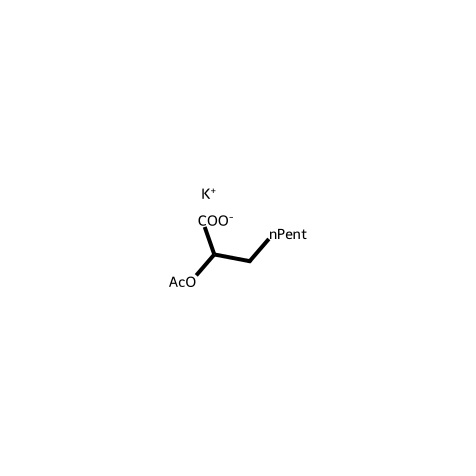 CCCCCCC(OC(C)=O)C(=O)[O-].[K+]